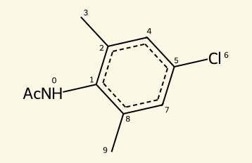 CC(=O)Nc1c(C)cc(Cl)cc1C